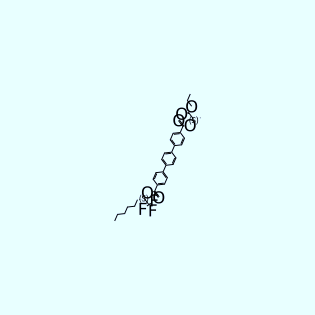 CCCCCC[C@H](OC(=O)c1ccc(-c2ccc(-c3ccc(C(=O)O[C@@H](C)C(=O)OCC)cc3)cc2)cc1)C(F)(F)F